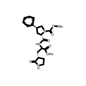 COC(=O)C(C[C@@H]1CCNC1=O)NC(=O)[C@@H]1C[C@@H](c2ccccc2)CN1C(=O)OC(C)(C)C